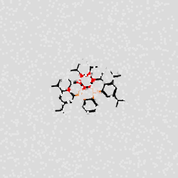 CC(C)c1cc(C(C)C)cc(P(c2cc(C(C)C)cc(C(C)C)c2)c2ccccc2P(c2cc(C(C)C)cc(C(C)C)c2)c2cc(C(C)C)cc(C(C)C)c2)c1